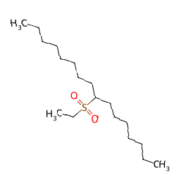 CCCCCCCCC(CCCCCCC)S(=O)(=O)CC